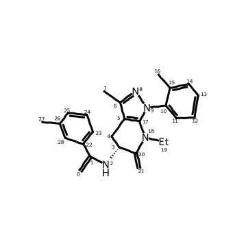 C=C(N[C@@H]1Cc2c(C)nn(-c3ccccc3C)c2N(CC)C1=C)c1cccc(C)c1